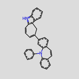 C1=Cc2[nH]c3ccccc3c2CC(c2ccc3c(c2)N(c2ccccc2)c2ccccc2C=C3)=C1